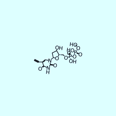 C#Cc1cn([C@H]2CC(O)[C@@H](COP(=O)(O)OP(=O)(O)OO)O2)c(=O)[nH]c1=O